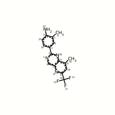 Cc1cc(-c2ncc3nc(C(F)(F)F)cc(C)c3n2)ccc1N